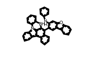 B1c2ccccc2-n2c3ccccc3c3c4ccccc4c(-c4cc5c(cc4Nc4ccccc4)oc4ccccc45)c1c32